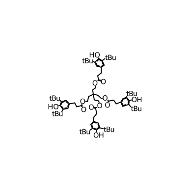 CC(C)(C)c1cc(CCC(=O)OCCC(CCOC(=O)CCc2cc(C(C)(C)C)c(O)c(C(C)(C)C)c2)(CCOC(=O)CCc2cc(C(C)(C)C)c(O)c(C(C)(C)C)c2)CCOC(=O)CCc2cc(C(C)(C)C)c(O)c(C(C)(C)C)c2)cc(C(C)(C)C)c1O